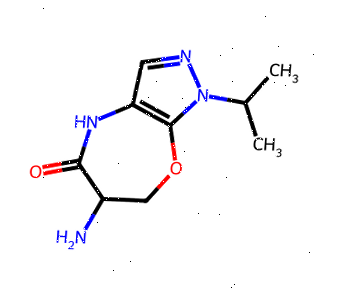 CC(C)n1ncc2c1OCC(N)C(=O)N2